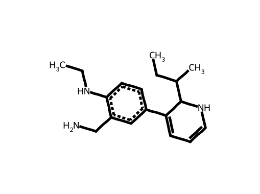 CCNc1ccc(C2=CC=CNC2C(C)CC)cc1CN